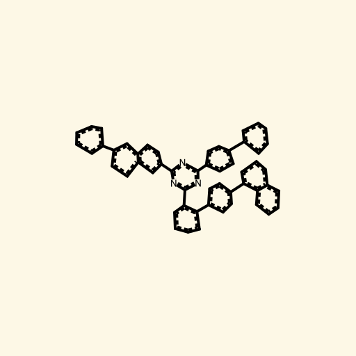 c1ccc(-c2ccc(-c3nc(-c4ccc5cc(-c6ccccc6)ccc5c4)nc(-c4ccccc4-c4ccc(-c5cccc6ccccc56)cc4)n3)cc2)cc1